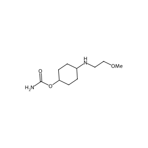 COCCNC1CCC(OC(N)=O)CC1